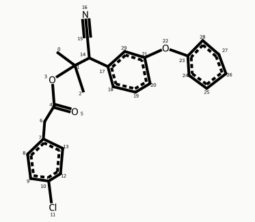 CC(C)(OC(=O)Cc1ccc(Cl)cc1)C(C#N)c1cccc(Oc2ccccc2)c1